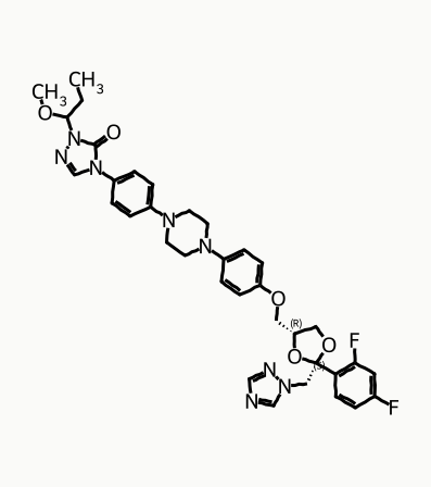 CCC(OC)n1ncn(-c2ccc(N3CCN(c4ccc(OC[C@@H]5CO[C@@](Cn6cncn6)(c6ccc(F)cc6F)O5)cc4)CC3)cc2)c1=O